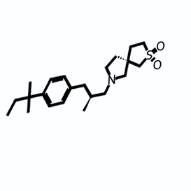 CCC(C)(C)c1ccc(C[C@H](C)CN2CC[C@@]3(CCS(=O)(=O)C3)C2)cc1